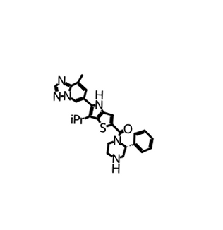 Cc1cc(-c2[nH]c3cc(C(=O)N4CCNC[C@H]4c4ccccc4)sc3c2C(C)C)cn2ncnc12